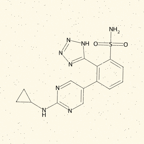 NS(=O)(=O)c1cccc(-c2cnc(NC3CC3)nc2)c1-c1nnn[nH]1